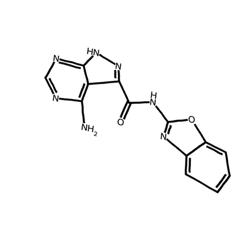 Nc1ncnc2[nH]nc(C(=O)Nc3nc4ccccc4o3)c12